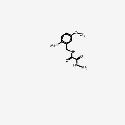 COc1ccc(OC(F)(F)F)cc1CNC(=O)C(=O)NN